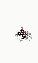 C=CCC1(C)CC(c2cccc(Cl)c2)C(c2ccc(Cl)cc2)N(C(C(C)C)C(C)O)C1=O